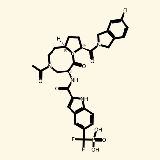 CC(=O)N1CC[C@H]2CC[C@@H](C(=O)N3Cc4ccc(Cl)cc4C3)N2C(=O)[C@@H](NC(=O)c2cc3cc(C(F)(F)P(=O)(O)O)ccc3[nH]2)C1